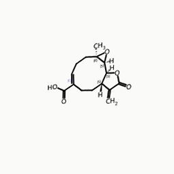 C=C1C(=O)O[C@H]2[C@H]1CC/C(C(=O)O)=C\CC[C@@]1(C)O[C@@H]21